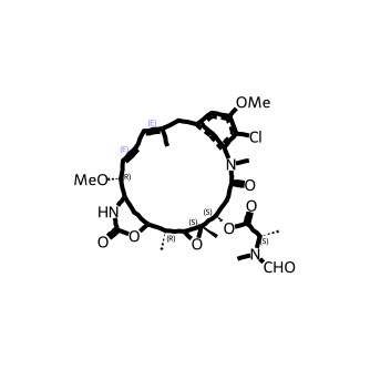 COc1cc2cc(c1Cl)N(C)C(=O)C[C@H](OC(=O)[C@H](C)N(C)C=O)[C@]1(C)OC1[C@H](C)C1CC(NC(=O)O1)[C@H](OC)/C=C/C=C(\C)C2